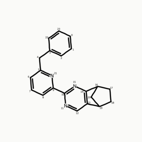 c1ccc(Cc2cccc(-c3ncc4c(n3)C3CCC4C3)n2)cc1